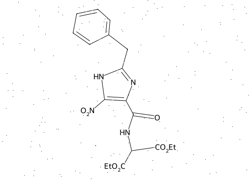 CCOC(=O)C(NC(=O)c1nc(Cc2ccccc2)[nH]c1[N+](=O)[O-])C(=O)OCC